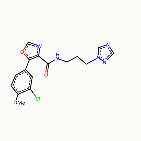 COc1ccc(-c2ocnc2C(=O)NCCCn2cncn2)cc1Cl